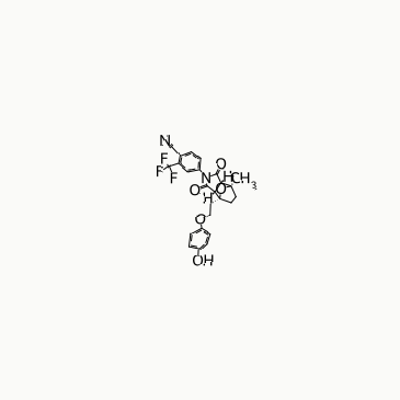 C[C@]12CC[C@](CCOc3ccc(O)cc3)(O1)[C@@H]1C(=O)N(c3ccc(C#N)c(C(F)(F)F)c3)C(=O)[C@@H]12